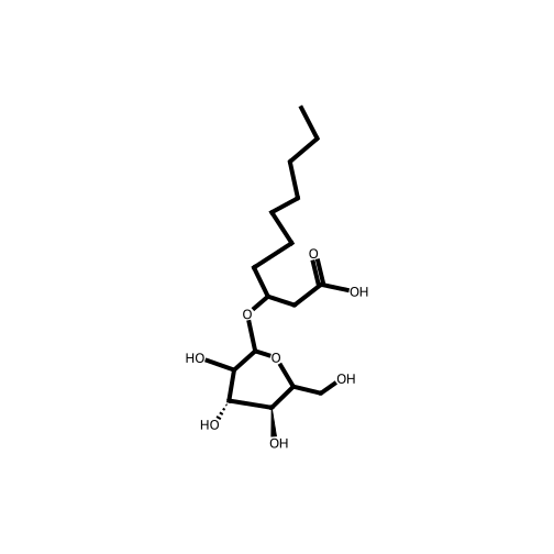 CCCCCCCC(CC(=O)O)OC1OC(CO)[C@@H](O)[C@H](O)C1O